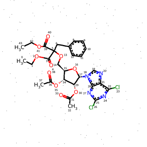 CCOC(=O)C(Cc1ccccc1)(OC[C@H]1O[C@@H](n2cnc3c(Cl)nc(Cl)nc32)[C@H](OC(C)=O)[C@@H]1OC(C)=O)C(=O)OCC